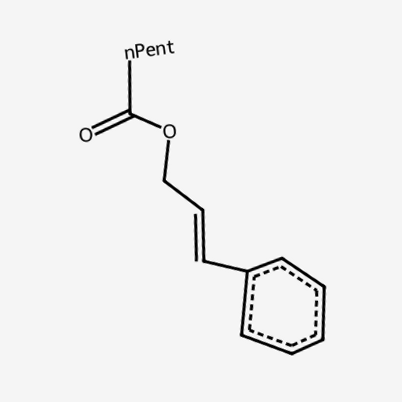 CCCCCC(=O)OC/C=C/c1ccccc1